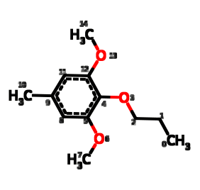 CCCOc1c(OC)cc(C)cc1OC